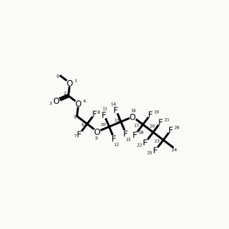 COC(=O)OCC(F)(F)OC(F)(F)C(F)(F)OC(F)(F)C(F)(F)C(C)(F)F